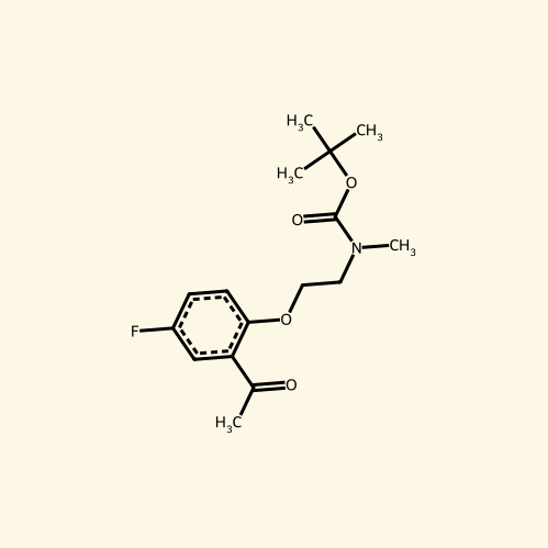 CC(=O)c1cc(F)ccc1OCCN(C)C(=O)OC(C)(C)C